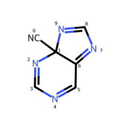 N#CC12N=CN=CC1=NC=N2